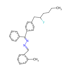 CCCCC(F)Cc1ccc(C(=NN=Cc2ccccc2C)c2ccccc2)cc1